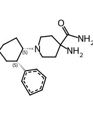 NC(=O)C1(N)CCN([C@H]2CCCC[C@H]2c2ccccc2)CC1